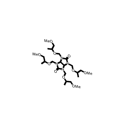 COCC(C)OCN1C(=O)N(COC(C)COC)C2C1N(COC(C)COC)C(=O)N2COC(C)COC